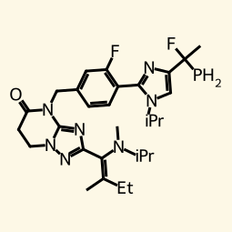 CC/C(C)=C(/c1nc2n(n1)CCC(=O)N2Cc1ccc(-c2nc(C(C)(F)P)cn2C(C)C)c(F)c1)N(C)C(C)C